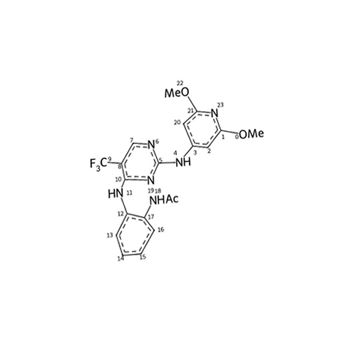 COc1cc(Nc2ncc(C(F)(F)F)c(Nc3ccccc3NC(C)=O)n2)cc(OC)n1